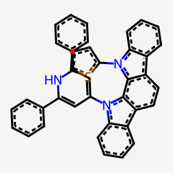 C1=C(c2ccccc2)NC(c2ccccc2)C=C1n1c2ccccc2c2ccc3c4ccccc4n(-c4cccs4)c3c21